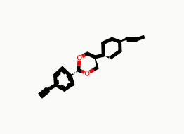 C#Cc1ccc([C@H]2OC[C@H]([C@H]3CC[C@H](C=CC)CC3)CO2)cc1